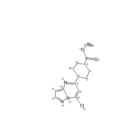 CC(C)(C)OC(=O)C1CCC(c2cc(Cl)n3nccc3n2)CC1